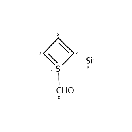 O=C[Si]1=CC=C1.[Si]